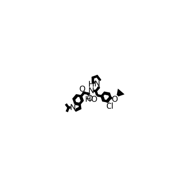 CC(C)n1ccc2cc(C(=O)C(=O)NC(CN3CCCC3)C(O)c3ccc(OC4CC4)c(Cl)c3)ccc21